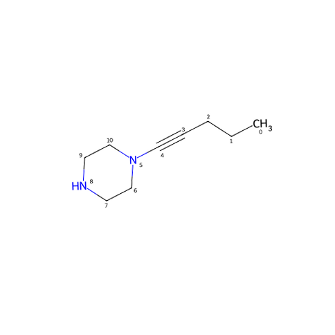 CCCC#CN1CCNCC1